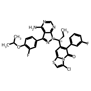 CC[C@@H](c1cc2scc(Cl)n2c(=O)c1-c1cccc(F)c1)n1nc(-c2ccc(OC(C)C)c(F)c2)c2c(N)ncnc21